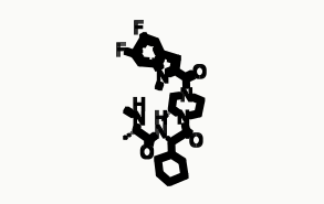 CN[C@@H](C)C(=O)N[C@H](C(=O)N1CCN(C(=O)c2cc3cc(F)c(F)cc3n2C)C[C@H]1C)C1CCCCC1